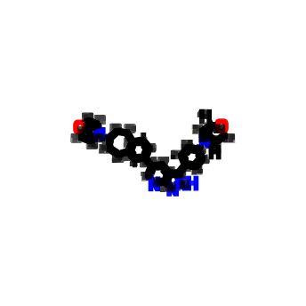 c1cc2c(cc1-c1cnc3n[nH]c(-c4ccc(N5C[C@H]6C[C@@H]5CO6)cc4)c3c1)CC[C@@H](N1C3COCC1C3)CC2